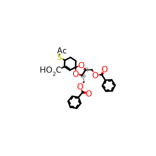 CC(=O)SC1CCC2(C=C1C(=O)O)O[C@@H](COC(=O)c1ccccc1)[C@H](COC(=O)c1ccccc1)O2